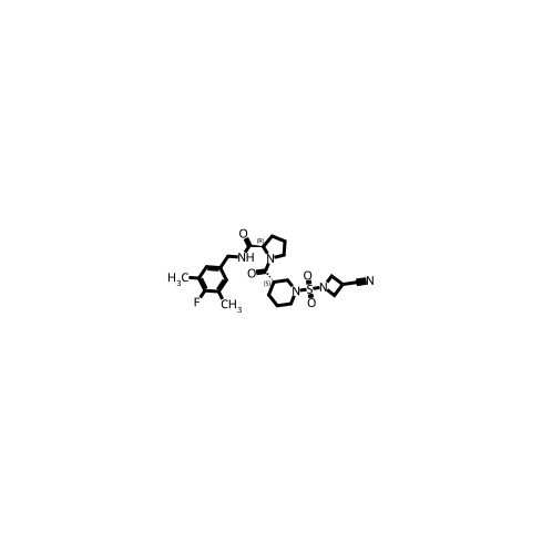 Cc1cc(CNC(=O)[C@H]2CCCN2C(=O)[C@H]2CCCN(S(=O)(=O)N3CC(C#N)C3)C2)cc(C)c1F